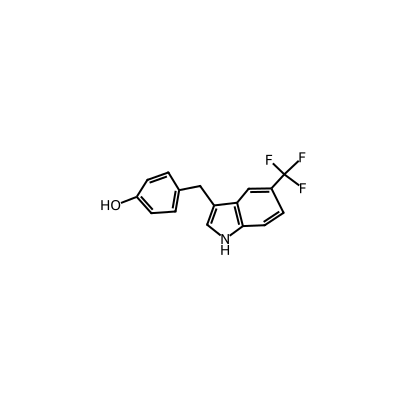 Oc1ccc(Cc2c[nH]c3ccc(C(F)(F)F)cc23)cc1